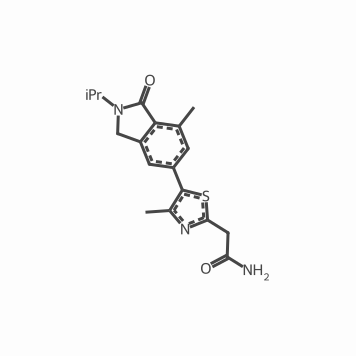 Cc1cc(-c2sc(CC(N)=O)nc2C)cc2c1C(=O)N(C(C)C)C2